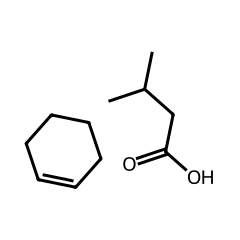 C1=CCCCC1.CC(C)CC(=O)O